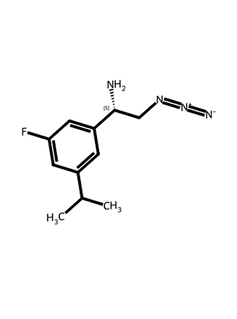 CC(C)c1cc(F)cc([C@H](N)CN=[N+]=[N-])c1